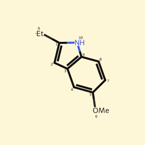 C[CH]c1cc2cc(OC)ccc2[nH]1